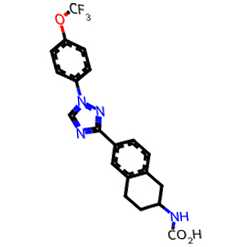 O=C(O)NC1CCc2cc(-c3ncn(-c4ccc(OC(F)(F)F)cc4)n3)ccc2C1